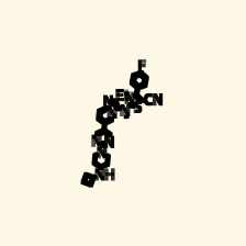 CCc1nc2ccc(-c3cnc(N4CCC(NC5CCC5)CC4)nc3)cn2c1N(C)c1nc(-c2ccc(F)cc2)c(C#N)s1